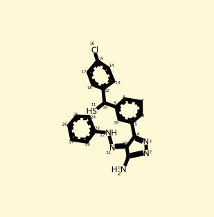 NC1=NN=C(c2cccc(C(S)c3ccc(Cl)cc3)c2)/C1=N\Nc1ccccc1